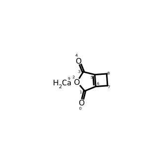 O=C1OC(=O)C2=C1CC2.[CaH2]